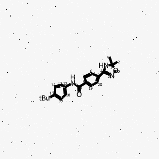 CC1(C)NC(c2ccc(C(=O)Nc3ccc(C(C)(C)C)cc3)cc2)=NO1